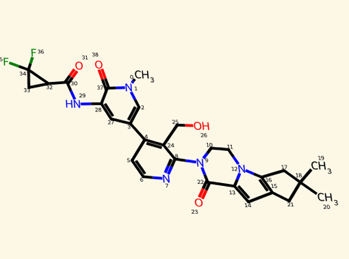 Cn1cc(-c2ccnc(N3CCn4c(cc5c4CC(C)(C)C5)C3=O)c2CO)cc(NC(=O)C2CC2(F)F)c1=O